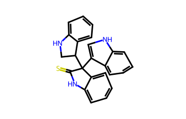 S=C1Nc2ccccc2C1(c1c[nH]c2ccccc12)C1CNc2ccccc21